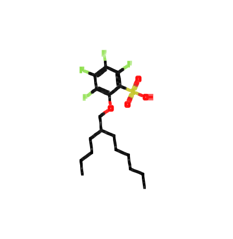 CCCCCCC(CCCC)COc1c(F)c(F)c(F)c(F)c1S(=O)(=O)O